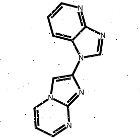 [c]1nc2ncccc2n1-c1cn2cccnc2n1